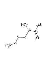 CCC(=O)[C@@H](O)CCCN